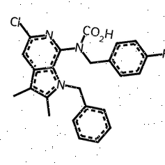 Cc1c(C)n(Cc2ccccc2)c2c(N(Cc3ccc(F)cc3)C(=O)O)nc(Cl)cc12